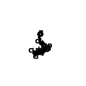 CNC(=O)c1cc2c(cc1C(=O)NC[C@@H](C)NCC1=C(Cl)CC(Cl)=C1Br)CN(C(=O)CCC1CCN(C)CC1)C2